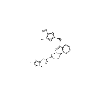 Cc1cc(C)n(CC(=O)N2CCN(c3ccccc3C(=O)Nc3nc(C)c(C(C)(C)C)s3)CC2)n1